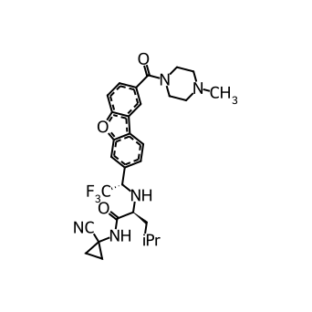 CC(C)C[C@H](N[C@@H](c1ccc2c(c1)oc1ccc(C(=O)N3CCN(C)CC3)cc12)C(F)(F)F)C(=O)NC1(C#N)CC1